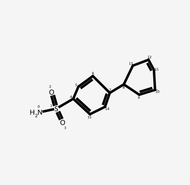 NS(=O)(=O)c1ccc(C2C=[C]C=CC2)cc1